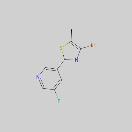 Cc1sc(-c2cncc(F)c2)nc1Br